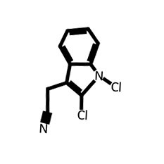 N#CCc1c(Cl)n(Cl)c2ccccc12